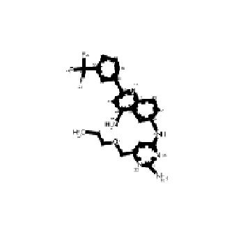 CCCOCc1cc(Nc2ccc3nc(-c4cccc(C(F)(F)F)c4)cc(N)c3c2)nc(N)n1